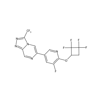 Fc1cc(-c2cn3c(C(F)(F)F)nnc3cn2)cnc1OC1CC(F)(F)C1(F)F